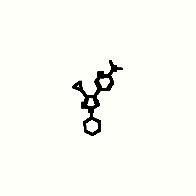 CN(C)c1ccc(-c2cn(C3CCCCC3)nc2C2CC2)cn1